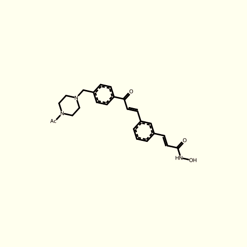 CC(=O)N1CCN(Cc2ccc(C(=O)C=Cc3cccc(C=CC(=O)NO)c3)cc2)CC1